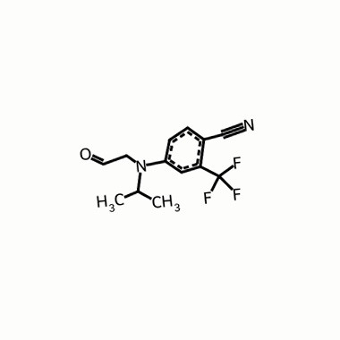 CC(C)N(CC=O)c1ccc(C#N)c(C(F)(F)F)c1